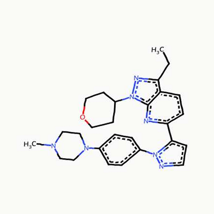 CCc1nn(C2CCOCC2)c2nc(-c3ccnn3-c3ccc(N4CCN(C)CC4)cc3)ccc12